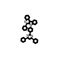 c1ccc(-c2cc(-c3ccccc3)nc(-c3ccc(-n4c5ccccc5c5c6ccccc6nc(-c6ccccc6)c54)cc3)n2)cc1